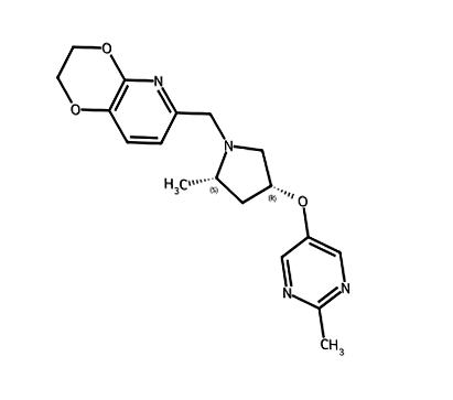 Cc1ncc(O[C@@H]2C[C@H](C)N(Cc3ccc4c(n3)OCCO4)C2)cn1